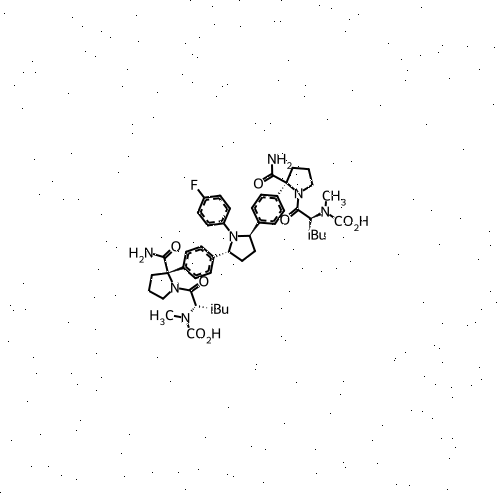 CC[C@H](C)[C@@H](C(=O)N1CCC[C@@]1(C(N)=O)c1ccc([C@H]2CC[C@H](c3ccc([C@]4(C(N)=O)CCCN4C(=O)[C@H]([C@@H](C)CC)N(C)C(=O)O)cc3)N2c2ccc(F)cc2)cc1)N(C)C(=O)O